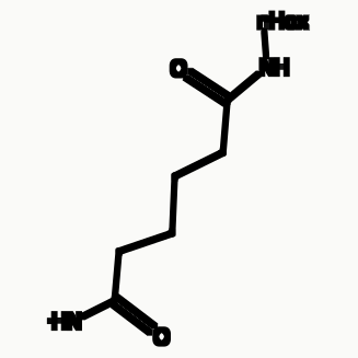 [CH2]CCCCCNC(=O)CCCCC([NH])=O